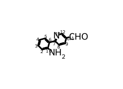 Nc1ccccc1-c1ccc(C=O)cn1